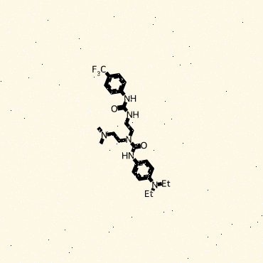 CCN(CC)c1ccc(NC(=O)N(CCNC(=O)Nc2ccc(C(F)(F)F)cc2)CCN(C)C)cc1